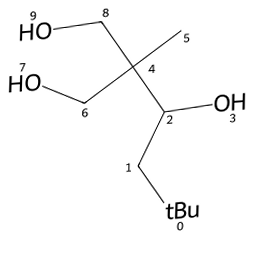 CC(C)(C)CC(O)C(C)(CO)CO